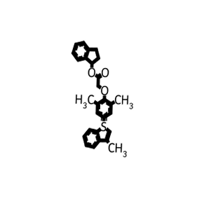 CC1=C[SH](c2cc(C)c(OCC(=O)OC3CCc4ccccc43)c(C)c2)c2ccccc21